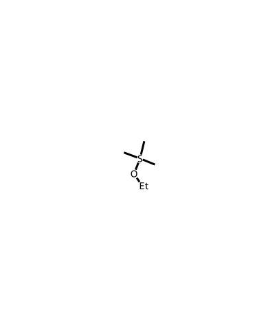 CCOS(C)(C)C